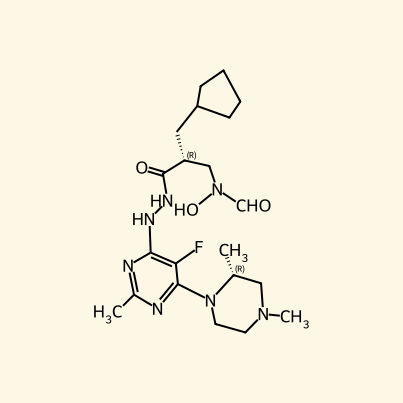 Cc1nc(NNC(=O)[C@H](CC2CCCC2)CN(O)C=O)c(F)c(N2CCN(C)C[C@H]2C)n1